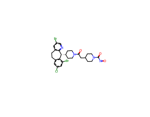 O=NC(=O)N1CCC(CC(=O)N2CCC([C@H]3c4ncc(Br)cc4CCc4cc(Cl)cc(Br)c43)CC2)CC1